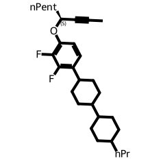 CC#C[C@H](CCCCC)Oc1ccc(C2CCC(C3CCC(CCC)CC3)CC2)c(F)c1F